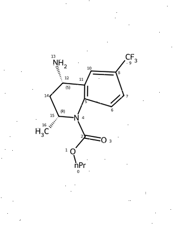 CCCOC(=O)N1c2ccc(C(F)(F)F)cc2[C@@H](N)C[C@H]1C